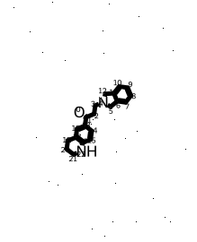 O=C(CCN1Cc2ccccc2C1)c1ccc2c(c1)CCCN2